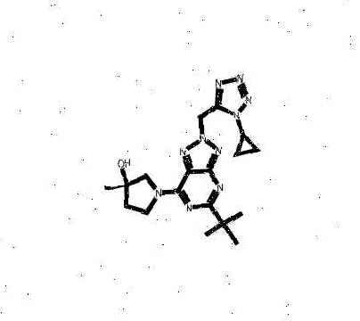 CC(C)(C)c1nc(N2CC[C@](C)(O)C2)c2nn(Cc3nnnn3C3CC3)nc2n1